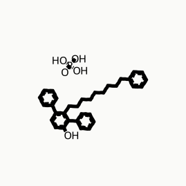 O=P(O)(O)O.Oc1ccc(-c2ccccc2)c(CCCCCCCCCc2ccccc2)c1-c1ccccc1